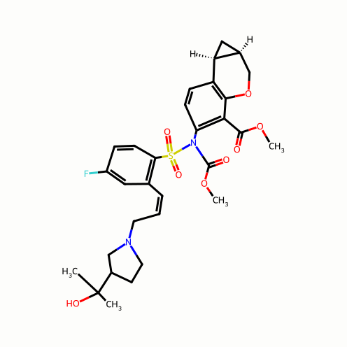 COC(=O)c1c(N(C(=O)OC)S(=O)(=O)c2ccc(F)cc2/C=C\CN2CCC(C(C)(C)O)C2)ccc2c1OC[C@@H]1C[C@H]21